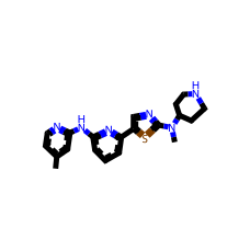 Cc1ccnc(Nc2cccc(-c3cnc(N(C)C4CCNCC4)s3)n2)c1